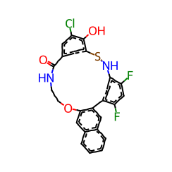 O=C1NCCOc2cc3ccccc3cc2-c2cc(c(F)cc2F)NSc2cc1cc(Cl)c2O